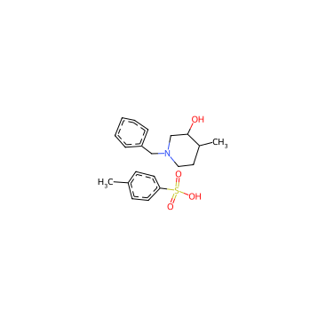 CC1CCN(Cc2ccccc2)CC1O.Cc1ccc(S(=O)(=O)O)cc1